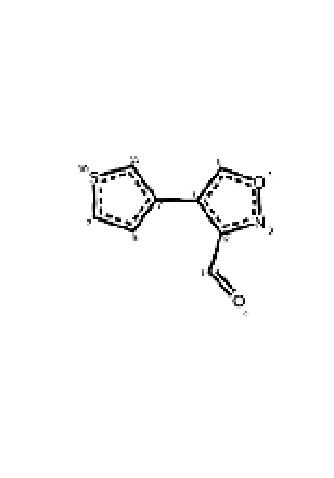 O=Cc1nocc1-c1ccsc1